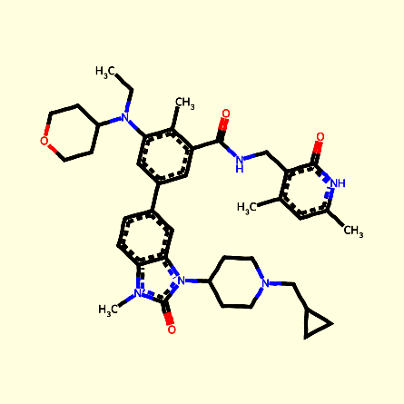 CCN(c1cc(-c2ccc3c(c2)n(C2CCN(CC4CC4)CC2)c(=O)n3C)cc(C(=O)NCc2c(C)cc(C)[nH]c2=O)c1C)C1CCOCC1